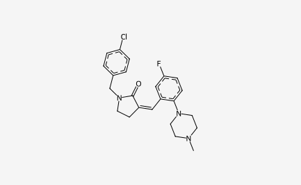 CN1CCN(c2ccc(F)cc2C=C2CCN(Cc3ccc(Cl)cc3)C2=O)CC1